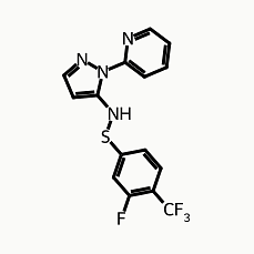 Fc1cc(SNc2ccnn2-c2ccccn2)ccc1C(F)(F)F